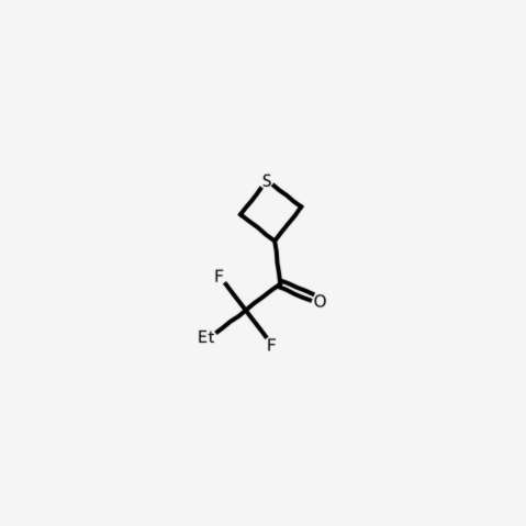 [CH2]CC(F)(F)C(=O)C1CSC1